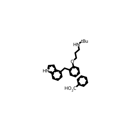 CC(C)(C)NCCCOc1ccccc1Cc1cccc2[nH]ccc12.O=C(O)c1ccccc1